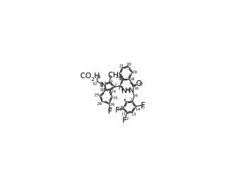 Cc1c(-c2nn(Cc3cc(F)c(F)cc3F)c(=O)c3ccccc23)c2cc(F)ccc2n1CC(=O)O